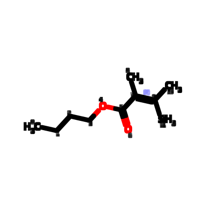 CCCCOC(=O)/C(C)=C(/C)[SiH3]